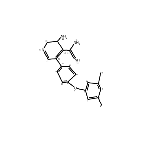 Cc1cc(C)cc(Oc2ccc(C3=C(C(=N)N)C(N)CN=C3)cc2)c1